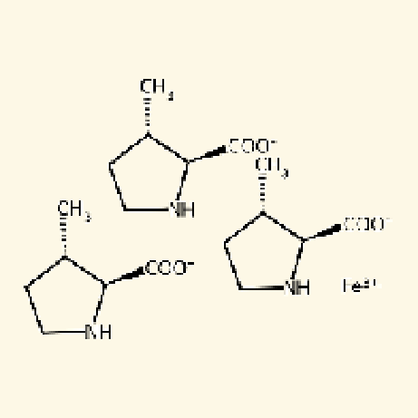 C[C@H]1CCN[C@@H]1C(=O)[O-].C[C@H]1CCN[C@@H]1C(=O)[O-].C[C@H]1CCN[C@@H]1C(=O)[O-].[Fe+3]